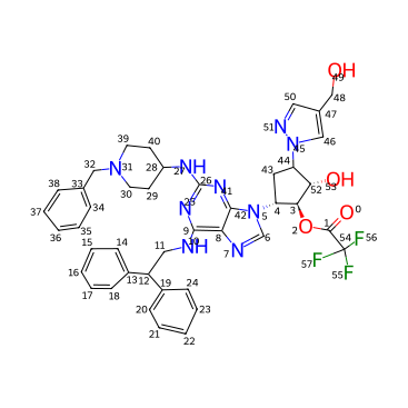 O=C(O[C@H]1[C@H](n2cnc3c(NCC(c4ccccc4)c4ccccc4)nc(NC4CCN(Cc5ccccc5)CC4)nc32)CC(n2cc(CO)cn2)[C@@H]1O)C(F)(F)F